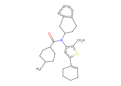 CC1CCC(C(=O)N(c2cc(C3=CCCCC3)sc2C(=O)O)C2CCc3ccccc3C2)CC1